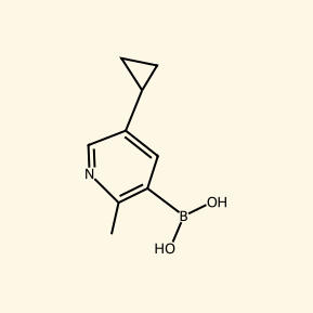 Cc1ncc(C2CC2)cc1B(O)O